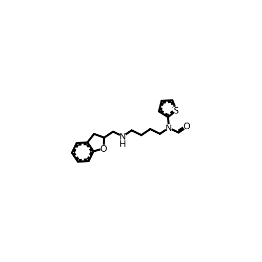 O=CN(CCCCNCC1Cc2ccccc2O1)c1cccs1